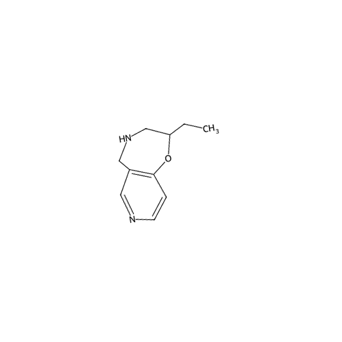 CCC1CNCc2cnccc2O1